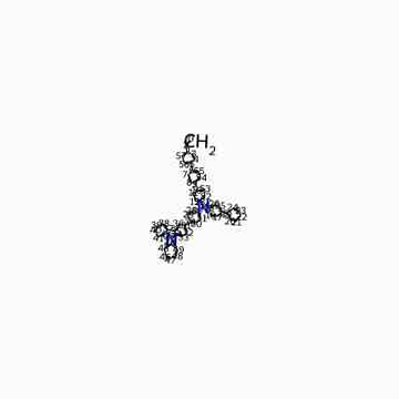 C=Cc1ccc(-c2ccc(-c3ccc(N(c4ccc(-c5ccccc5)cc4)c4ccc(-c5ccc6c(c5)c5ccccc5n6-c5ccccc5)cc4)cc3)cc2)cc1